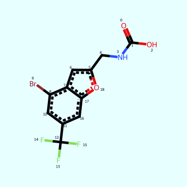 O=C(O)NCc1cc2c(Br)cc(C(F)(F)F)cc2o1